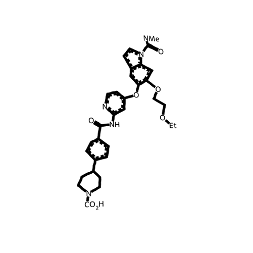 CCOCCOc1cc2c(ccn2C(=O)NC)cc1Oc1ccnc(NC(=O)c2ccc(C3CCN(C(=O)O)CC3)cc2)c1